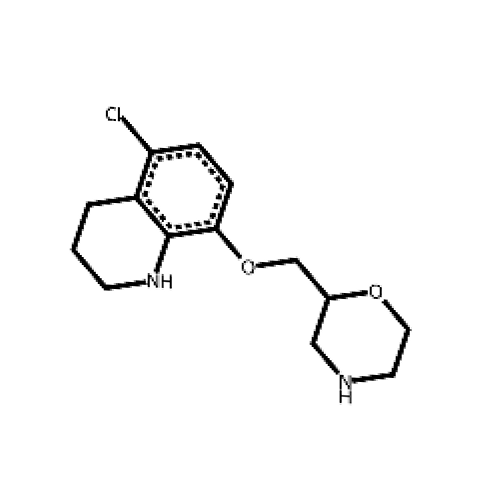 Clc1ccc(OCC2CNCCO2)c2c1CCCN2